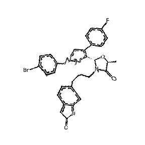 C[C@@H]1O[C@@H](c2nn(-c3ccc(Br)cc3)cc2-c2ccc(F)cc2)N(CCc2ccc3c(c2)=NC(=O)C=3)C1=O